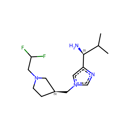 CC(C)[C@H](N)c1cn(C[C@H]2CCN(CC(F)F)C2)cn1